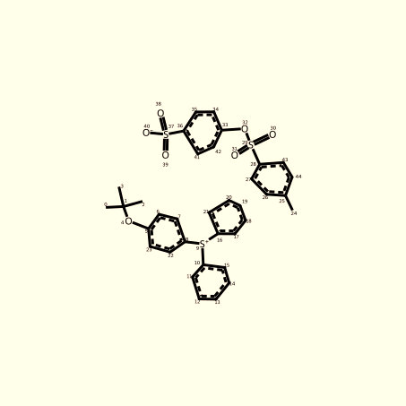 CC(C)(C)Oc1ccc([S+](c2ccccc2)c2ccccc2)cc1.Cc1ccc(S(=O)(=O)Oc2ccc(S(=O)(=O)[O-])cc2)cc1